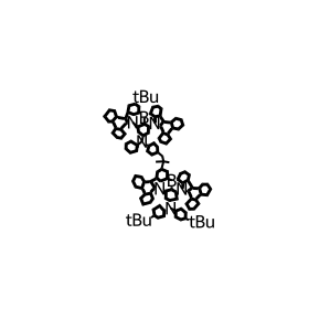 CC(C)(C)c1ccc(N(c2ccc(C(C)(C)C)cc2)c2cc3c4c(c2)-n2c5c(cc(C(C)(C)Cc6ccc(N(c7ccccc7)c7cc8c9c(c7)-n7c%10c(cc(C(C)(C)C)cc%10c%10c%11ccccc%11c%11ccccc%11c%107)B9c7cccc9c%10c%11ccccc%11c%11ccccc%11c%10n-8c79)cc6)cc5c5c6ccccc6c6ccccc6c52)B4c2cccc4c5c6ccccc6c6ccccc6c5n-3c24)cc1